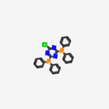 Clc1nc(P(c2ccccc2)c2ccccc2)nc(P(c2ccccc2)c2ccccc2)n1